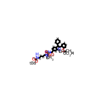 CC(Oc1ccccc1-c1c(C2CCCCC2)c2ccc(C(=O)NS(=O)(=O)N(C)CCCCNC(=O)OC(C)(C)C)cc2n1C)C(=O)O